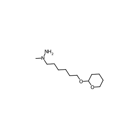 CN(N)CCCCCCOC1CCCCO1